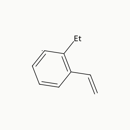 C=Cc1ccc[c]c1CC